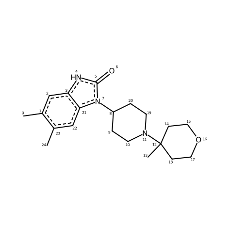 Cc1cc2[nH]c(=O)n(C3CCN(C4(C)CCOCC4)CC3)c2cc1C